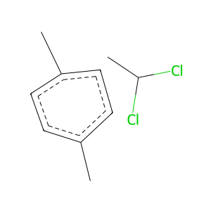 CC(Cl)Cl.Cc1ccc(C)cc1